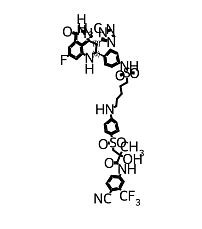 Cn1ncnc1[C@H]1c2n[nH]c(=O)c3cc(F)cc(c23)N[C@@H]1c1ccc(NS(=O)(=O)CCCCCNc2ccc(S(=O)(=O)CC(C)(O)C(=O)Nc3ccc(C#N)c(C(F)(F)F)c3)cc2)cc1